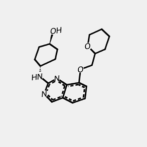 O[C@H]1CC[C@H](Nc2ncc3cccc(OCC4CCCCO4)c3n2)CC1